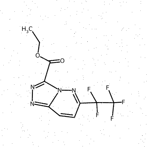 CCOC(=O)c1nnc2ccc(C(F)(F)C(F)(F)F)nn12